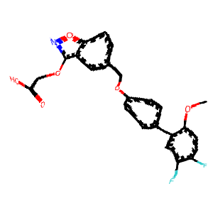 COc1cc(F)c(F)cc1-c1ccc(OCc2ccc3onc(OCC(=O)O)c3c2)cc1